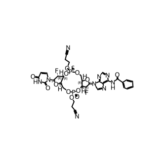 N#CCCOP1(=O)OC[C@H]2O[C@@H](n3ccc(=O)[nH]c3=O)[C@H](F)[C@@H]2OP(=S)(OCCC#N)OC[C@H]2O[C@@H](n3cnc4c(NC(=O)c5ccccc5)ncnc43)[C@H](F)[C@@H]2O1